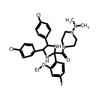 CCOc1cc(F)ccc1C1(C(=O)N2CCN(N(C)C)CC2)NC(c2ccc(Cl)cc2)C(c2ccc(Cl)cc2)N1